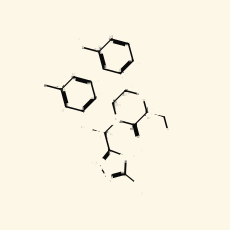 Cc1nnc([C@@H](C)N2C(=O)[C@H](CC(=O)O)O[C@@H](c3cccc(Cl)c3)[C@H]2c2ccc(Cl)cc2)o1